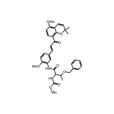 COc1ccc(/C=C/C(=O)c2ccc(OC)c3c2OC(C)(C)C=C3)cc1NC(=O)C(NC(=O)OC(C)(C)C)C(C)OCc1ccccc1